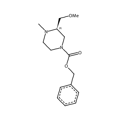 COC[C@H]1CN(C(=O)OCc2ccccc2)CCN1C